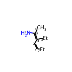 CC/C=C\C(CC)=C(\C)N